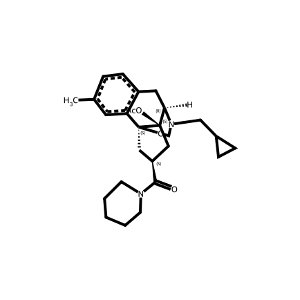 CC(=O)O[C@@]12C[C@@H](C(=O)N3CCCCC3)C[C@@]13CCN(CC1CC1)[C@@H]2Cc1ccc(C)cc13